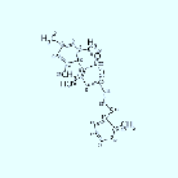 Cc1cc(C)c(-c2c(O)cc(CCSc3ccccc3C)oc2=O)c(C)c1